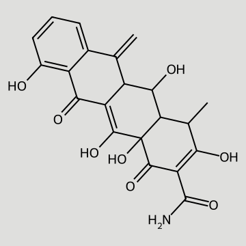 C=C1c2cccc(O)c2C(=O)C2=C(O)C3(O)C(=O)C(C(N)=O)=C(O)C(C)C3C(O)C12